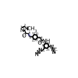 Cn1ccnc1C(=O)/C=C/c1ccc(CC(=O)Nc2cc(CN=[N+]=[N-])cc(N=[N+]=[N-])c2)cc1